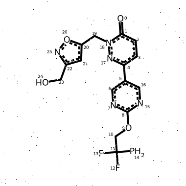 O=c1ccc(-c2cnc(OCC(F)(F)P)nc2)nn1Cc1cc(CO)no1